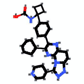 O=C(O)NC1(c2ccc(-c3nc4ccc5nnc(-c6ccncc6)n5c4nc3-c3ccccc3)cc2)CCC1